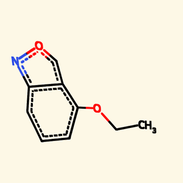 CCOc1cccc2nocc12